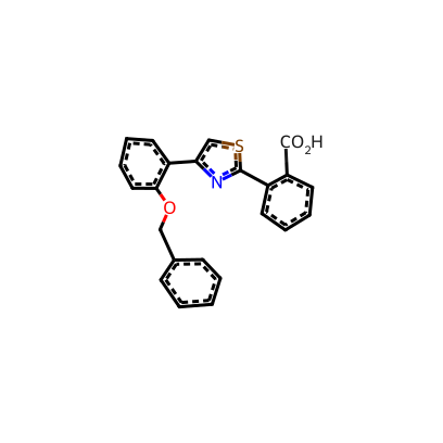 O=C(O)c1ccccc1-c1nc(-c2ccccc2OCc2ccccc2)cs1